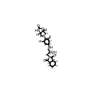 O=C1N[C@H]2CN(c3c(F)cc(NC[C@@H](O)CN4C(=O)c5ccccc5C4=O)cc3F)C[C@H]2O1